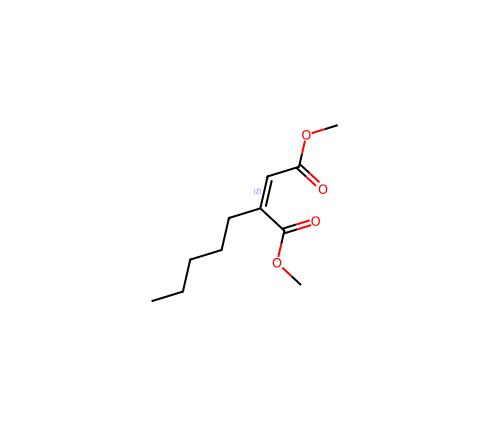 CCCCC/C(=C/C(=O)OC)C(=O)OC